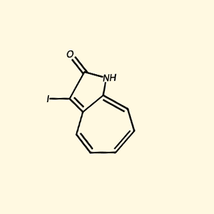 O=c1[nH]c2cccccc-2c1I